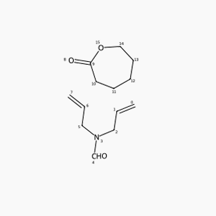 C=CCN(C=O)CC=C.O=C1CCCCCO1